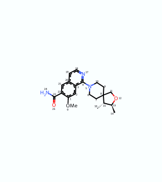 COc1cc2c(N3CCC4(CC3)CO[C@@H](C)[C@@H]4C)nccc2cc1C(N)=O